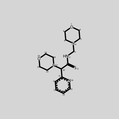 S=C(NCN1CCOCC1)C(c1ccccn1)N1CCOCC1